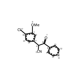 COc1cc(C(C#N)C(=O)c2ccncc2)ccc1Cl